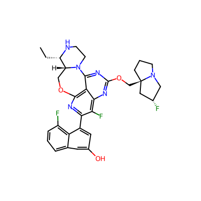 CC[C@@H]1NCCN2c3nc(OC[C@@]45CCCN4C[C@H](F)C5)nc4c(F)c(-c5cc(O)cc6cccc(F)c56)nc(c34)OC[C@H]12